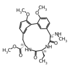 CC[C@@H]1NC(=O)[C@@H](NC)c2ccc(OC)c(c2)-c2cc(ccc2OC)C[C@@H](C(=O)OC)NC1=O